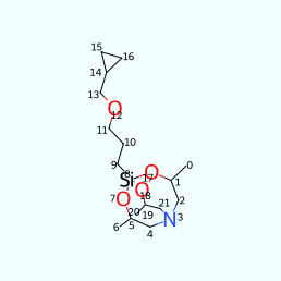 CC1CN2CC(C)O[Si](CCCOCC3CC3)(O1)OC(C)C2